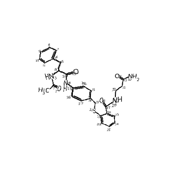 CC(=O)NC(Cc1ccccc1)C(=O)Nc1ccc(CSc2ccccc2C(=O)NCCC(N)=O)cc1